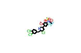 COc1cc(N(C(=O)C(F)(F)F)S(C)(=O)=O)ccc1-c1cnc(Cc2ccc(Cl)c(Cl)c2)c(Cl)c1